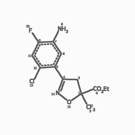 CCOC(=O)C1(C(F)(F)F)CC(c2cc(N)c(F)cc2Cl)=NO1